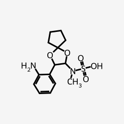 CN(C1OC2(CCCC2)OC1c1ccccc1N)S(=O)(=O)O